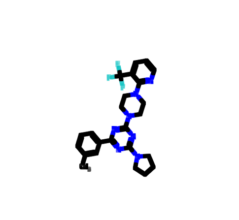 Cc1cccc(-c2nc(N3CCCC3)nc(N3CCN(c4ncccc4C(F)(F)F)CC3)n2)c1